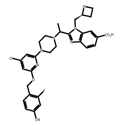 CC(c1nc2ccc(C(=O)O)cc2n1C[C@@H]1CCO1)N1CCN(c2cc(Cl)cc(OCc3ccc(C#N)cc3F)n2)CC1